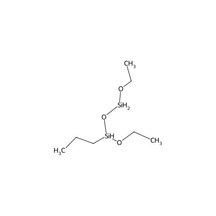 CCC[SiH](OCC)O[SiH2]OCC